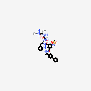 CCNC(=O)[C@@H](NC(=O)[C@H](C)NC[C@H](Cc1ccccc1)NC(=O)c1cc(C(=O)NC(C)c2ccc(-c3ccccc3)cc2)cc(N(C)S(C)(=O)=O)c1)C(C)C